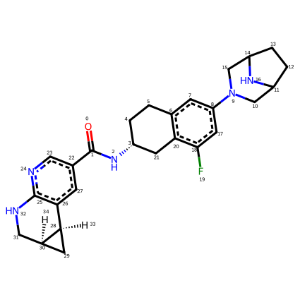 O=C(N[C@@H]1CCc2cc(N3CC4CCC(C3)N4)cc(F)c2C1)c1cnc2c(c1)[C@H]1C[C@H]1CN2